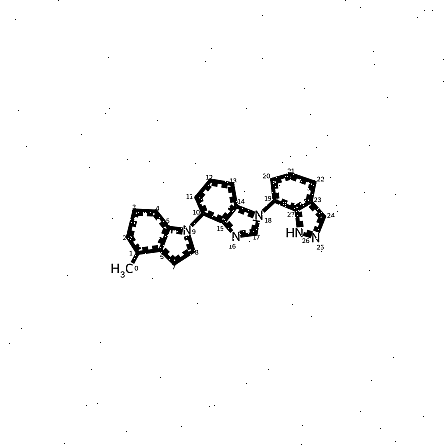 Cc1cccc2c1ccn2-c1cccc2c1ncn2-c1cccc2cn[nH]c12